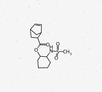 CS(=O)(=O)NC1CCCCC1OC(=O)C1CC2C=CC1C2